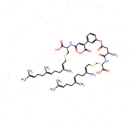 CC(C)=CCC/C(C)=C/CC/C(C)=C/CSC[C@H](NC(=O)/C=C(\C(=O)O)c1cccc(OC(=O)CC(C)C(=O)N[C@@H](CSC/C=C(\C)CC/C=C(\C)CCC=C(C)C)C(=O)O)c1)C(=O)O